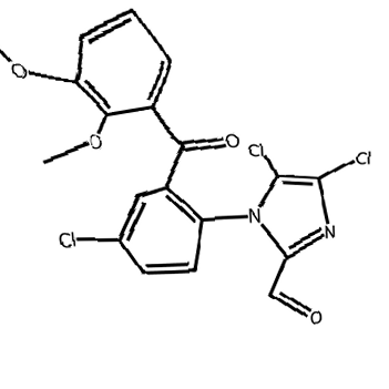 COc1cccc(C(=O)c2cc(Cl)ccc2-n2c(C=O)nc(Cl)c2Cl)c1OC